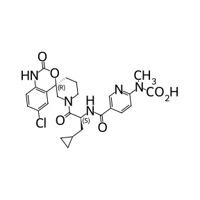 CN(C(=O)O)c1ccc(C(=O)N[C@@H](CC2CC2)C(=O)N2CCC[C@@]3(C2)OC(=O)Nc2ccc(Cl)cc23)cn1